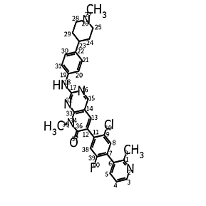 Cc1ncccc1-c1cc(Cl)c(-c2cc3cnc(Nc4ccc(C5CCN(C)CC5)cc4)nc3n(C)c2=O)cc1F